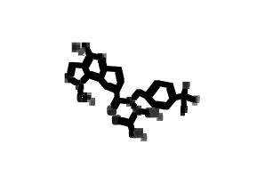 CC(=O)N(C)N(Cc1ccc(C(F)(F)F)cc1)C(=O)c1ccc2nc(N)c3cnn(C)c3c2c1